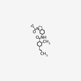 C/C=C/c1ccc(C(=O)Nc2ccc3c(c2)N(C(=O)C2CC2)CC3)c(C)c1